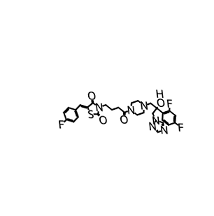 O=C(CCCN1C(=O)SC(=Cc2ccc(F)cc2)C1=O)N1CCN(CC(O)(Cn2cncn2)c2ccc(F)cc2F)CC1